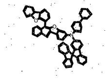 c1ccc(-c2ccc(N(c3ccc4c(c3)C3(c5ccccc5-c5ccccc53)c3ccccc3-4)c3ccc4c(c3)oc3c(-c5cccc6c5oc5ccccc56)c5ccccc5cc34)cc2)cc1